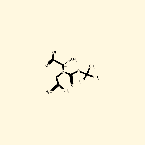 C=C(C)CN(C(=O)OC(C)(C)C)[C@@H](C)C(=O)O